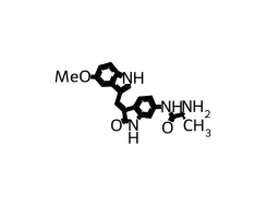 COc1ccc2[nH]cc(/C=C3/C(=O)Nc4cc(NC(=O)[C@H](C)N)ccc43)c2c1